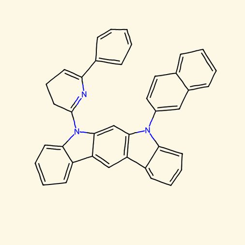 C1=C(c2ccccc2)N=C(n2c3ccccc3c3cc4c5ccccc5n(-c5ccc6ccccc6c5)c4cc32)CC1